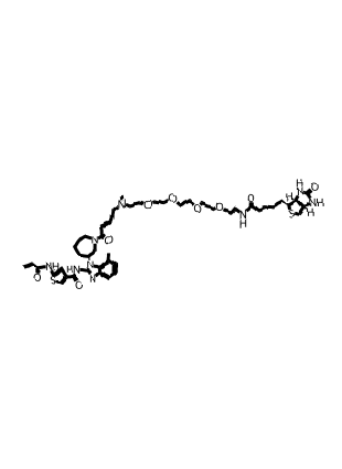 C=CC(=O)Nc1cc(C(=O)Nc2nc3cccc(C)c3n2[C@@H]2CCCCN(C(=O)/C=C/CN(C)CCOCCOCCOCCOCCNC(=O)CCCC[C@@H]3SC[C@@H]4NC(=O)N[C@@H]43)C2)cs1